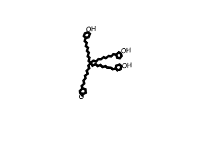 OC1CCC(CCCCCCCCCC(CCCCCCCCCC2CCC(O)CC2)(CCCCCCCCCC2CCCC(O)C2)CCCCCCCCCC2CCC3OC3C2)CC1